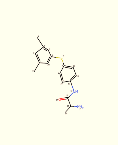 Cc1cc(C)cc(Sc2ccc(NC(=O)C(C)N)cc2)c1